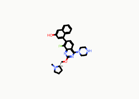 CN1CCC[C@H]1COc1nc(N2CCNCC2)c2ccc(-c3cc(O)cc4ccccc34)c(F)c2n1